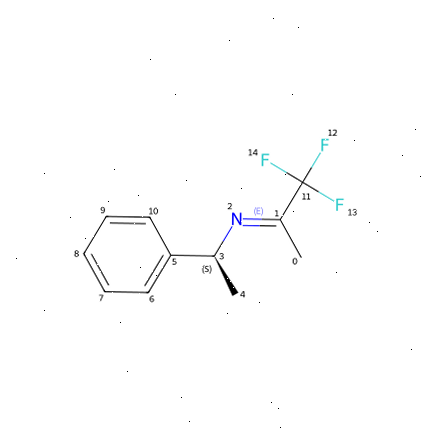 C/C(=N\[C@@H](C)c1ccccc1)C(F)(F)F